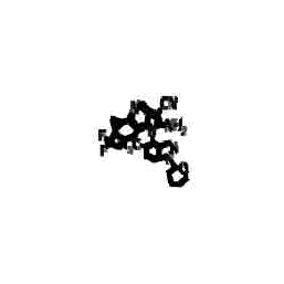 Cc1ccc2c(cnn2C2CCCCO2)c1-n1c(N)c(C#N)c2cnc(C3CC3)c(CC3CC(F)(F)C3)c21